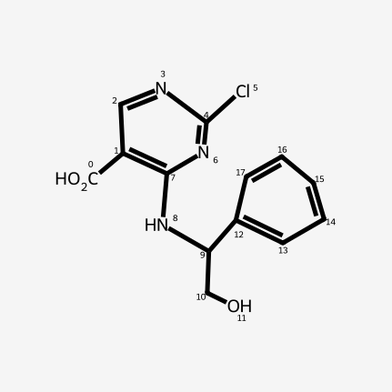 O=C(O)c1cnc(Cl)nc1NC(CO)c1ccccc1